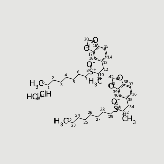 CCCCCCCC[S+]([O-])C(C)Cc1ccc2c(c1)OCO2.CCCCCCCC[S+]([O-])C(C)Cc1ccc2c(c1)OCO2.Cl.Cl